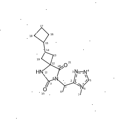 CC(c1nncn1C)N1C(=O)NC2(CC(C3CCC3)C2)C1=O